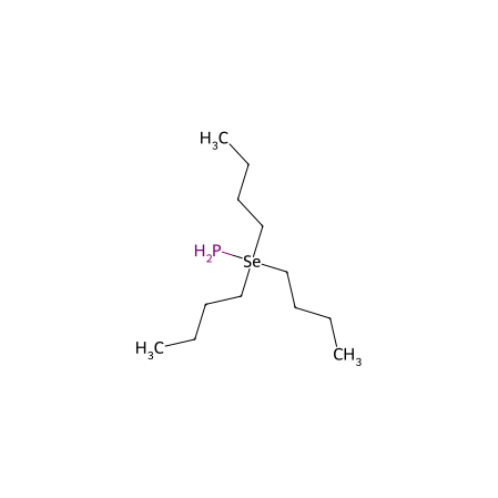 CCCC[Se](P)(CCCC)CCCC